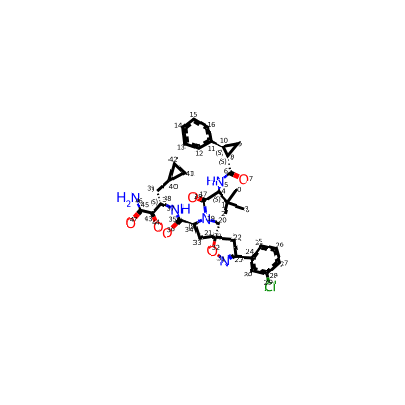 CC(C)(C)[C@H](NC(=O)[C@H]1C[C@@H]1c1ccccc1)C(=O)N1C[C@@]2(CC(c3cccc(Cl)c3)=NO2)C[C@H]1C(=O)N[C@@H](CC1CC1)C(=O)C(N)=O